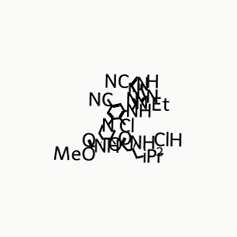 CCNc1nc(Nc2cc(C#N)cc(N3CC[C@@H](NC(=O)OC)[C@H](OC(=O)C[C@@H](N)CC(C)C)C3)c2Cl)nn2c(C#N)cnc12.Cl